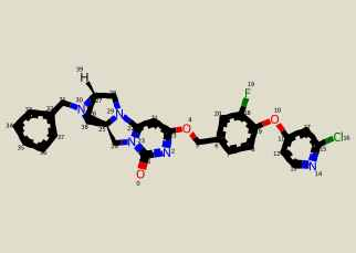 O=c1nc(OCc2ccc(Oc3ccnc(Cl)c3)c(F)c2)cc2n1C[C@@]13C[C@@H](CN21)N(Cc1ccccc1)C3